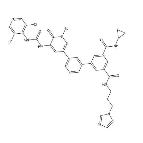 CCn1nc(-c2cccc(-c3cc(C(=O)NCCCn4ccnc4)cc(C(=O)NC4CC4)c3)c2)cc(NC(=O)Nc2c(Cl)cncc2Cl)c1=O